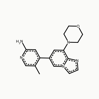 Cc1cnc(N)cc1-c1cc(N2CCOCC2)c2nccn2c1